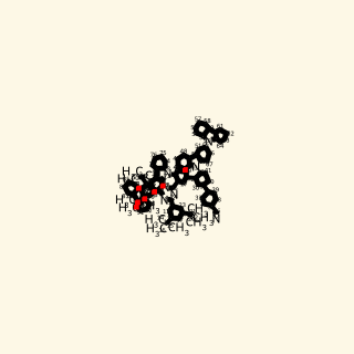 CC(C)(C)c1cc(-c2nc(-c3cc(C(C)(C)C)cc(C(C)(C)C)c3)nc(-c3cc(-c4cc(-c5ccc(C#N)cc5)ccc4-n4c5ccccc5c5cc(-n6c7ccccc7c7ccccc76)ccc54)ccc3-n3c4ccccc4c4cc(-n5c6ccccc6c6ccccc65)ccc43)n2)cc(C(C)(C)C)c1